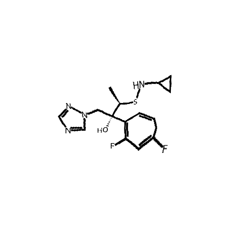 C[C@@H](SNC1CC1)[C@](O)(Cn1cncn1)c1ccc(F)cc1F